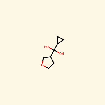 OC(O)(C1CC1)C1CCOC1